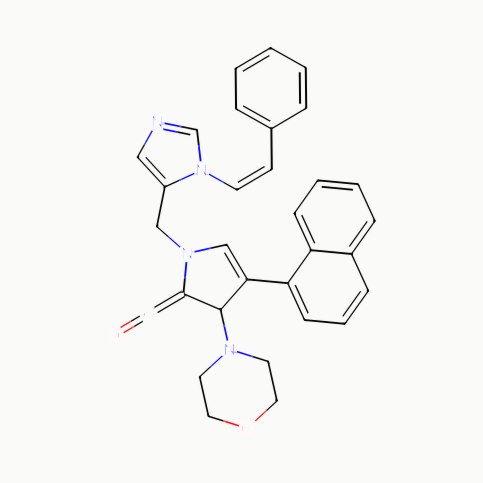 O=C=C1C(N2CCOCC2)C(c2cccc3ccccc23)=CN1Cc1cncn1C=Cc1ccccc1